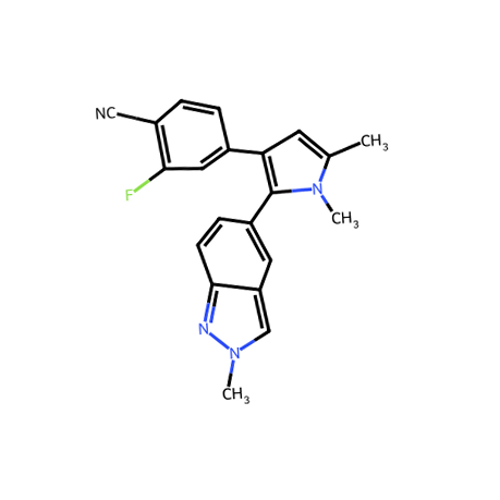 Cc1cc(-c2ccc(C#N)c(F)c2)c(-c2ccc3nn(C)cc3c2)n1C